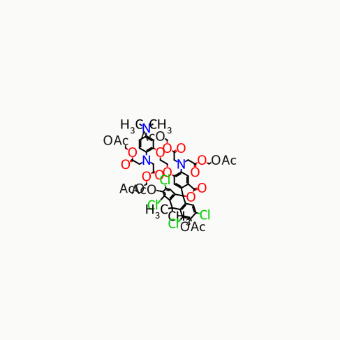 CC(=O)OCOC(=O)CN(CC(=O)OCOC(C)=O)c1ccc(N(C)C)cc1OCCOc1cc2c(cc1N(CC(=O)OCOC(C)=O)CC(=O)OCOC(C)=O)C(=O)OC21c2cc(Cl)c(OC(C)=O)c(Cl)c2C(C)(C)c2c1cc(Cl)c(OC(C)=O)c2Cl